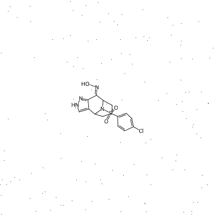 O=S(=O)(c1ccc(Cl)cc1)N1C2CCCC1c1c[nH]nc1/C2=N\O